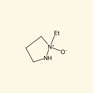 CC[N+]1([O-])CCCN1